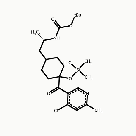 Cc1cc(Cl)c(C(=O)C2(O[Si](C)(C)C)CCC(C[C@H](C)NC(=O)OC(C)(C)C)CC2)cn1